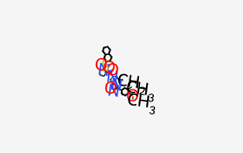 C=CCN(Cc1nc(-c2ccc(OC)c(C)c2)no1)C(=O)C1CCCN1S(=O)(=O)c1ccc2ccccc2c1